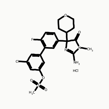 CN1C(=O)C(c2ccc(F)c(-c3cc(Cl)cc(OS(C)(=O)=O)c3)c2)(C2CCOCC2)N=C1N.Cl